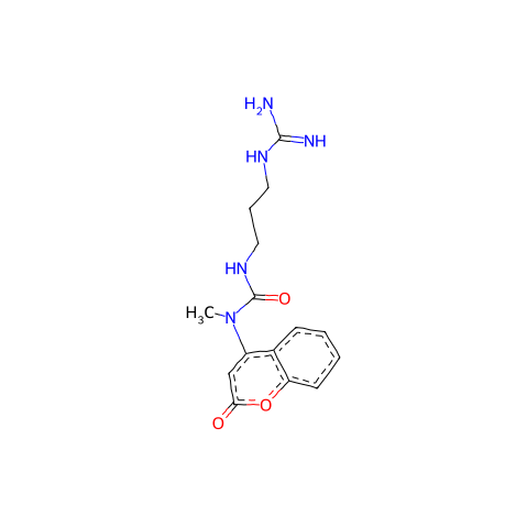 CN(C(=O)NCCCNC(=N)N)c1cc(=O)oc2ccccc12